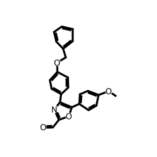 COc1ccc(-c2oc(C=O)nc2-c2ccc(OCc3ccccc3)cc2)cc1